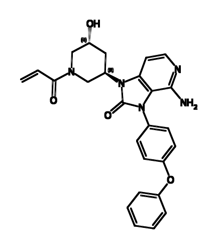 C=CC(=O)N1C[C@H](O)C[C@@H](n2c(=O)n(-c3ccc(Oc4ccccc4)cc3)c3c(N)nccc32)C1